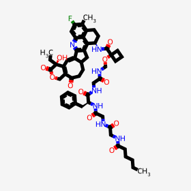 CCCCCC(=O)NCC(=O)NCC(=O)N[C@@H](Cc1ccccc1)C(=O)NCC(=O)NCOC1(C(=O)N[C@H]2CCc3c(C)c(F)cc4nc5c(c2c34)CC2CCC(=O)C3=C(/C=C/52)[C@@](O)(CC)C(=O)OC3)CCC1